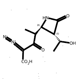 CC(C(=O)C(=[N+]=[N-])C(=O)O)[C@H]1NC(=O)[C@@H]1C(C)O